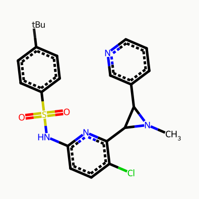 CN1C(c2cccnc2)C1c1nc(NS(=O)(=O)c2ccc(C(C)(C)C)cc2)ccc1Cl